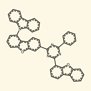 c1ccc(-c2nc(-c3ccc4c(c3)oc3cccc(-n5c6ccccc6c6ccccc65)c34)nc(-c3cccc4c3oc3ccccc34)n2)cc1